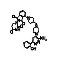 Nc1nnc(-c2ccccc2O)cc1N1CCN(CC2CCN(c3cccc4c3C(=O)N(N3CCC(=O)NC3=O)C4=O)CC2)CC1